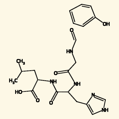 CC(C)CC(NC(=O)C(Cc1c[nH]cn1)NC(=O)CNC=O)C(=O)O.Oc1ccccc1